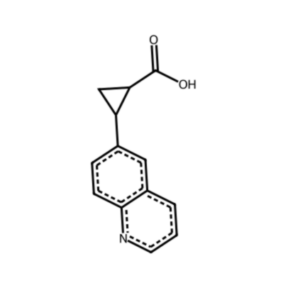 O=C(O)C1CC1c1ccc2ncccc2c1